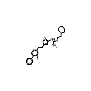 NC(=NCCN1CCCCC1)Nc1cc(CCc2ccc(-c3ccccc3)c(F)c2)no1